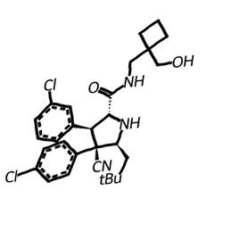 CC(C)(C)C[C@@H]1N[C@@H](C(=O)NCC2(CO)CCC2)[C@H](c2cccc(Cl)c2)[C@@]1(C#N)c1ccc(Cl)cc1